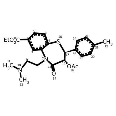 CCOC(=O)c1ccc2c(c1)N(CCN(C)C)C(=O)[C@H](OC(C)=O)[C@H](c1ccc(C)cc1)S2